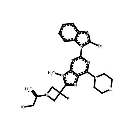 C=C(CO)N1CC(F)(c2nc3c(N4CCOCC4)nc(-n4c(CC)nc5ccccc54)nc3n2C)C1